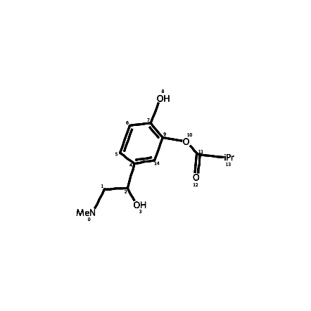 CNCC(O)c1ccc(O)c(OC(=O)C(C)C)c1